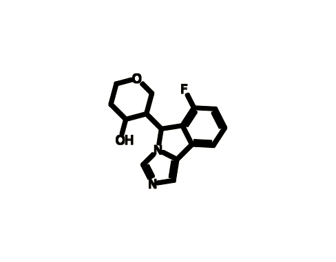 OC1CCOCC1C1c2c(F)cccc2-c2cncn21